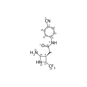 N#Cc1ccc(NC(=O)C[C@@H]2C(N)NC2C(F)(F)F)cc1